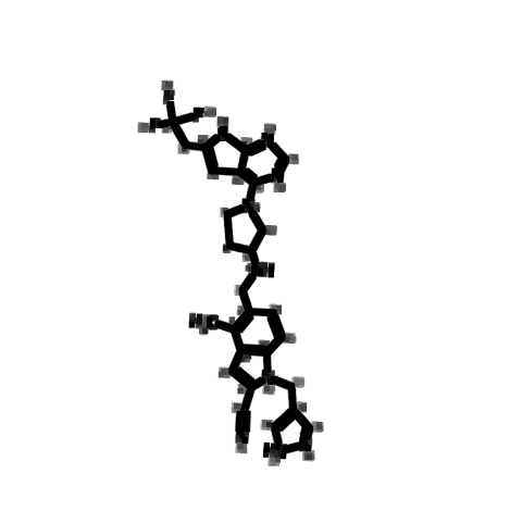 Cc1c(CNC2CCN(c3ncnc4sc(CC(F)(F)F)cc34)C2)ccc2c1cc(C#N)n2Cc1cn[nH]c1